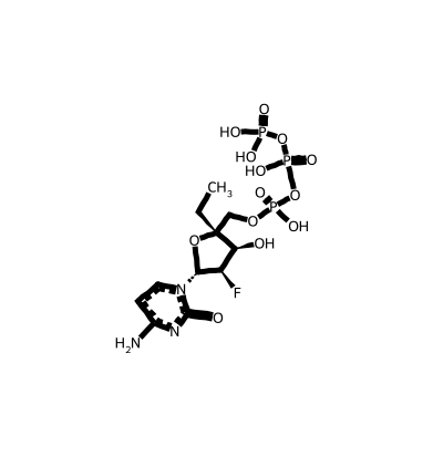 CC[C@]1(COP(=O)(O)OP(=O)(O)OP(=O)(O)O)O[C@@H](n2ccc(N)nc2=O)[C@H](F)[C@@H]1O